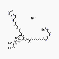 CC/C=C\C/C=C\C/C=C\CCCCCCCC(=O)OC[C@H](COP(=O)([O-])OCC(O)CO)OC(=O)CCCCCCC/C=C\C/C=C\C/C=C\CC.[Na+]